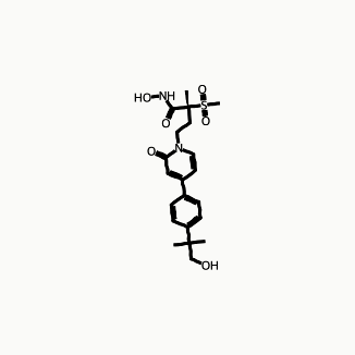 CC(C)(CO)c1ccc(-c2ccn(CC[C@](C)(C(=O)NO)S(C)(=O)=O)c(=O)c2)cc1